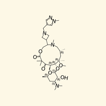 CO[C@]1(C)C[C@@H](C)CN(C)C(C2CN(Cc3cnn(C)c3)C2)COC(=O)C(C)(C)C(=O)[C@H](C)[C@H]1O[C@@H]1O[C@H](C)C[C@H](N(C)C)[C@H]1O